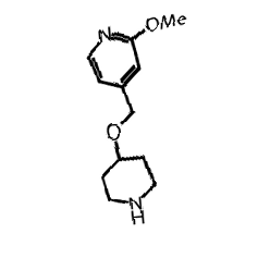 COc1cc(COC2CCNCC2)ccn1